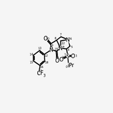 CC(C)S(=O)(=O)C1C[N@]2CC3C(=O)N(c4cccc(C(F)(F)F)c4)C(=O)[N+]31C2